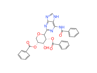 O=C(Nc1nc(C2OC[C@@H](OC(=O)c3ccccc3)[C@@H](O)[C@H]2OC(=O)c2ccccc2)nc2nc[nH]c12)c1ccccc1